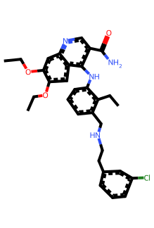 CCOc1cc2ncc(C(N)=O)c(Nc3cccc(CNCCc4cccc(Cl)c4)c3CC)c2cc1OCC